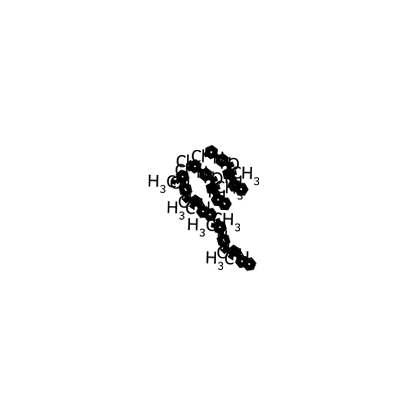 COc1ccccc1N1CCN(C(=O)c2ccn(-c3ccc4ccccc4n3)c2C)CC1.Cc1c(C(=O)N2CCN(c3ccc(Cl)c(Cl)c3)CC2)ccn1-c1ccc2ccccc2n1.Cc1c(C(=O)N2CCN(c3cccc(Cl)c3)CC2)ccn1-c1ccc2ccccc2n1.Cc1ccc(N2CCN(C(=O)c3ccn(-c4ccc5ccccc5n4)c3C)CC2)cc1C